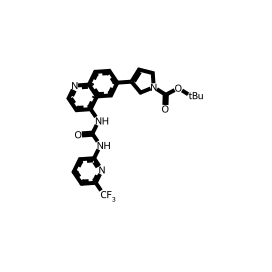 CC(C)(C)OC(=O)N1CC=C(c2ccc3nccc(NC(=O)Nc4cccc(C(F)(F)F)n4)c3c2)C1